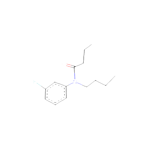 CCCCN(C(=O)CCC)c1cccc(F)c1